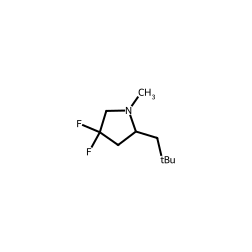 CN1CC(F)(F)CC1CC(C)(C)C